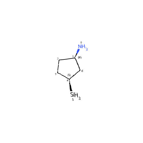 N[C@@H]1CC[C@H]([SiH3])C1